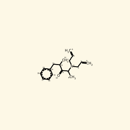 C=CCN(CC=C)C(C)C(=O)C(C)Cc1ccccc1